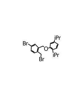 CC(C)c1ccc(C(C)C)c(OCc2cc(Br)ccc2CBr)c1